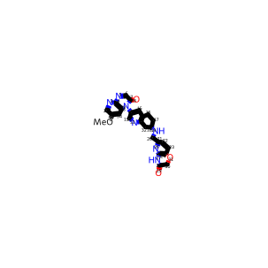 COc1cnc2ncc(=O)n(-c3cnc4c(c3)CCC(NCc3ccc5c(n3)NC(=O)CO5)C4)c2c1